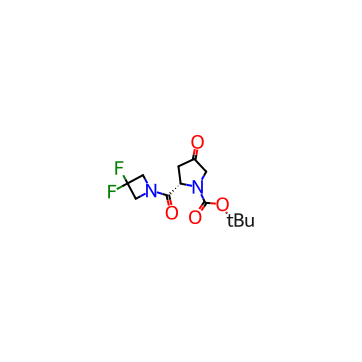 CC(C)(C)OC(=O)N1CC(=O)C[C@H]1C(=O)N1CC(F)(F)C1